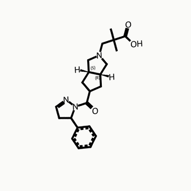 CC(C)(CN1C[C@H]2CC(C(=O)N3N=CCC3c3ccccc3)C[C@H]2C1)C(=O)O